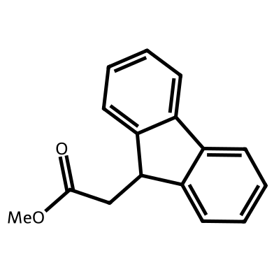 COC(=O)CC1c2ccccc2-c2ccccc21